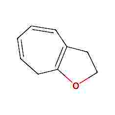 C1=CCC2=C(C=C1)CCO2